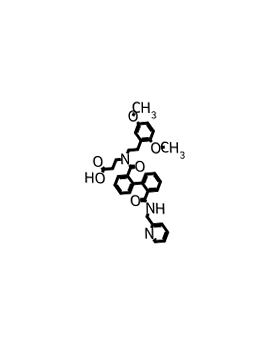 COc1ccc(OC)c(CCN(CCC(=O)O)C(=O)c2ccccc2-c2ccccc2C(=O)NCc2ccccn2)c1